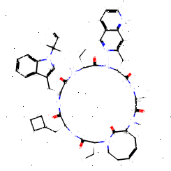 C=CC(C)(C)n1cc(C[C@@H]2NC(=O)[C@H](CC3CCC3)NC(=O)[C@H](CC(C)C)N3CC/C=C\C[C@@H](C3=O)N(C)C(=O)[C@H](C)NC(=O)[C@H](Cc3cc4ncccc4cn3)NC(=O)[C@H](CC(C)C)N(C)C2=O)c2ccccc21